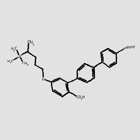 CCCCCc1ccc(-c2ccc(-c3cc(OCCCC(C)[Si](C)(C)C)ccc3C(=O)O)cc2)cc1